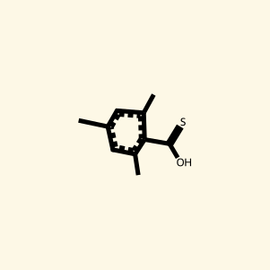 Cc1cc(C)c(C(O)=S)c(C)c1